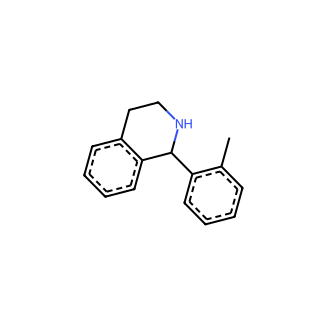 Cc1ccccc1C1NCCc2ccccc21